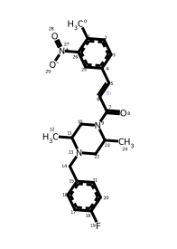 Cc1ccc(/C=C/C(=O)N2CC(C)N(Cc3ccc(F)cc3)CC2C)cc1[N+](=O)[O-]